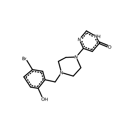 O=c1cc(N2CCN(Cc3cc(Br)ccc3O)CC2)nc[nH]1